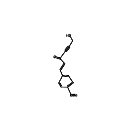 COc1ccc(C=CC(=O)C#CCO)cc1